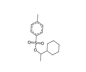 Cc1ccc(S(=O)(=O)OC(C)C2CCCCC2)cc1